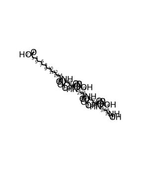 O=C(O)CCCCCCCCCCCCC(=O)N[C@@H](CCC(=O)N[C@@H](CCC(=O)N[C@@H](CCC(=O)N[C@@H](CCCNO)C(=O)O)C(=O)O)C(=O)O)C(=O)O